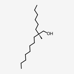 CCCCCCCC[C@@](C)(CO)CCCCCC